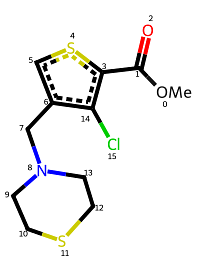 COC(=O)c1scc(CN2CCSCC2)c1Cl